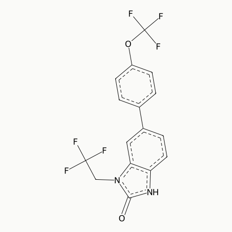 O=c1[nH]c2ccc(-c3ccc(OC(F)(F)F)cc3)cc2n1CC(F)(F)F